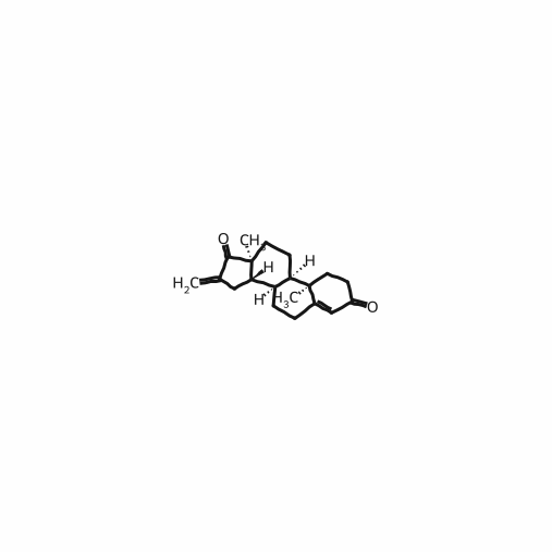 C=C1C[C@H]2[C@@H]3CCC4=CC(=O)CC[C@]4(C)[C@@H]3CC[C@]2(C)C1=O